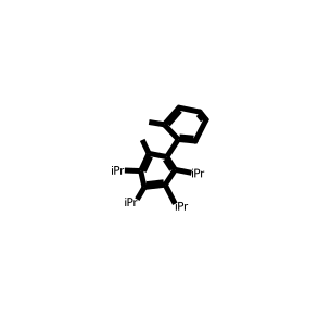 Cc1ccccc1-c1c(C)c(C(C)C)c(C(C)C)c(C(C)C)c1C(C)C